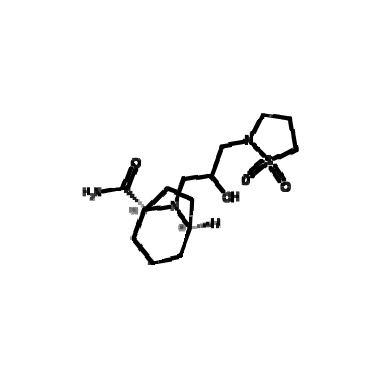 NC(=O)[C@]12C[CH]C[C@H](CC1)N2CC(O)CN1CCCS1(=O)=O